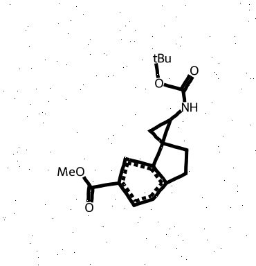 COC(=O)c1ccc2c(c1)C1(CC2)CC1NC(=O)OC(C)(C)C